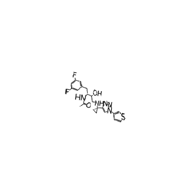 CC(=O)NC(Cc1cc(F)cc(F)c1)C(O)CNC1(c2cn(-c3ccsc3)nn2)CC1